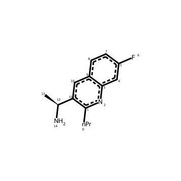 CCCc1nc2cc(F)ccc2cc1[C@H](C)N